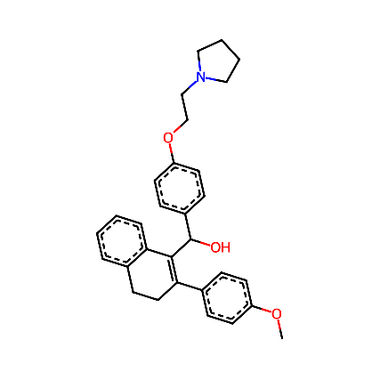 COc1ccc(C2=C(C(O)c3ccc(OCCN4CCCC4)cc3)c3ccccc3CC2)cc1